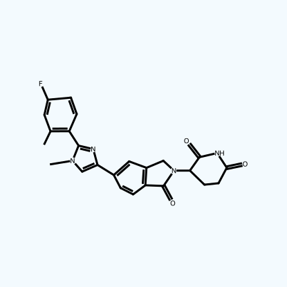 Cc1cc(F)ccc1-c1nc(-c2ccc3c(c2)CN(C2CCC(=O)NC2=O)C3=O)cn1C